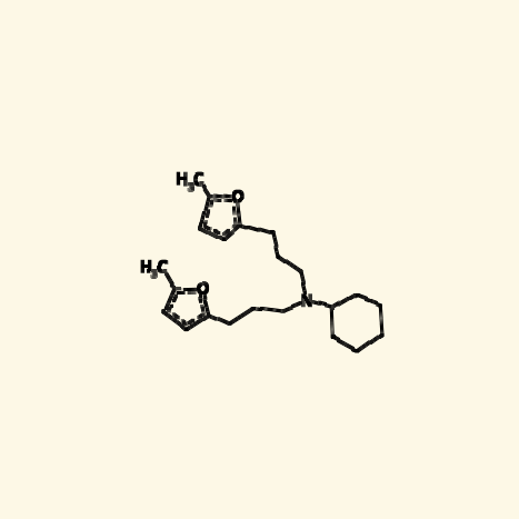 Cc1ccc(CCCN(CCCc2ccc(C)o2)C2CCCCC2)o1